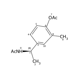 CC(=O)N[C@H](C)c1ccc(OC(C)=O)c(C)c1